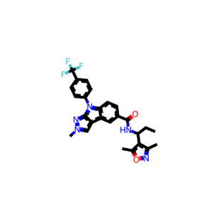 CCC(NC(=O)c1ccc2c(c1)c1cn(C)nc1n2-c1ccc(C(F)(F)F)cc1)c1c(C)noc1C